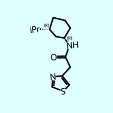 CC(C)[C@@H]1CCC[C@@H](NC(=O)Cc2cscn2)C1